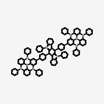 c1ccc(N2c3cccc4c3B3c5c2cccc5N(c2ccccc2)c2cc(-c5ccc(-c6c7c8ccccc8n(-c8ccccc8)c7c(-c7ccc(-c8cc9c%10c(c8)N(c8ccccc8)c8cccc%11c8B%10c8c(cccc8N9c8ccccc8)N%11c8ccccc8)cc7)c7c8ccccc8n(-c8ccccc8)c67)cc5)cc(c23)N4c2ccccc2)cc1